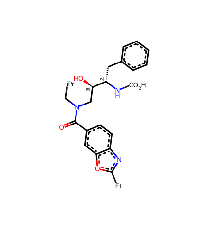 CCc1nc2ccc(C(=O)N(CC(C)C)C[C@@H](O)[C@H](Cc3ccccc3)NC(=O)O)cc2o1